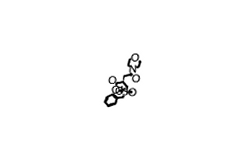 O=C(O)[C@@H](CC(=O)N1CCOCC1)CS(=O)(=O)Cc1ccccc1